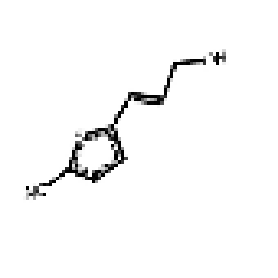 N#Cc1ccc(C=CCO)s1